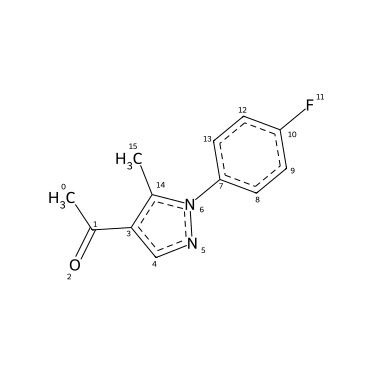 CC(=O)c1cnn(-c2ccc(F)cc2)c1C